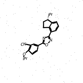 [C-]#[N+]c1cc(-c2nc(-c3cccc4c3CC[C@@H]4C(C)C)no2)ccc1OC(C)C